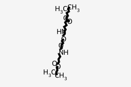 CC(C)CCCOC(=O)CCCCNCCOCCOCCNCCCCC(=O)OCCC(C)C